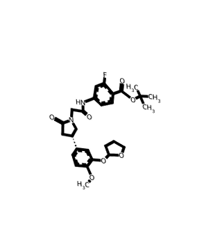 COc1ccc([C@@H]2CC(=O)N(CC(=O)Nc3ccc(C(=O)OC(C)(C)C)c(F)c3)C2)cc1OC1CCCO1